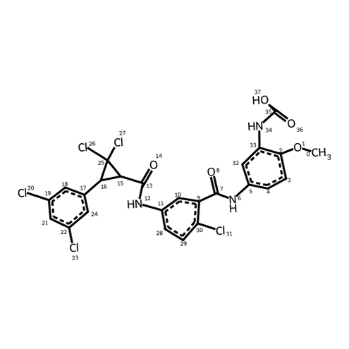 COc1ccc(NC(=O)c2cc(NC(=O)C3C(c4cc(Cl)cc(Cl)c4)C3(Cl)Cl)ccc2Cl)cc1NC(=O)O